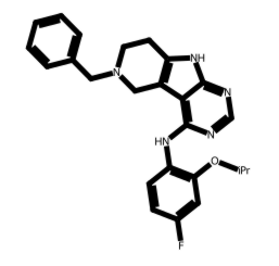 CC(C)Oc1cc(F)ccc1Nc1ncnc2[nH]c3c(c12)CN(Cc1ccccc1)CC3